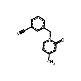 Cc1ccn(Cc2cccc(C#N)c2)c(=O)c1